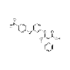 COC(Oc1cccc(Oc2ccc([N+](=O)[O-])cc2)c1)=C(C(=O)O)c1ccccc1